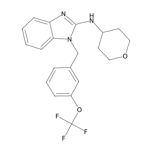 FC(F)(F)Oc1cccc(Cn2c(NC3CCOCC3)nc3ccccc32)c1